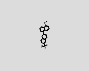 COc1cccc2c(C3=CCc4cc(C(F)(F)F)ccc4[CH]3)cccc12